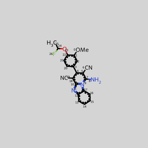 COc1cc(-c2c(C#N)c(N)n3c(nc4ccccc43)c2C#N)ccc1OC(C)F